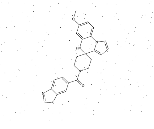 COc1ccc2c(c1)NC1(CCN(C(=O)c3ccc4ncsc4c3)CC1)c1cccn1-2